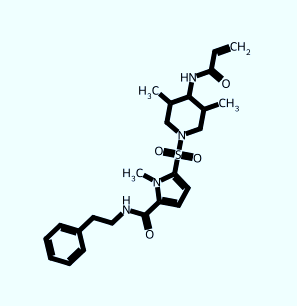 C=CC(=O)NC1C(C)CN(S(=O)(=O)c2ccc(C(=O)NCCc3ccccc3)n2C)CC1C